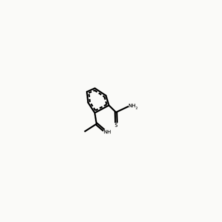 CC(=N)c1ccccc1C(N)=S